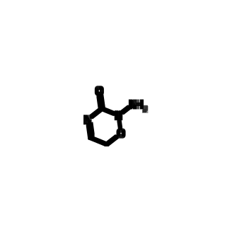 NN1OCC=NC1=O